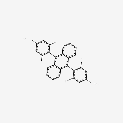 COc1cc(F)c(-c2c3ccccc3c(-c3c(F)cc(OC)cc3F)c3ccccc23)c(F)c1